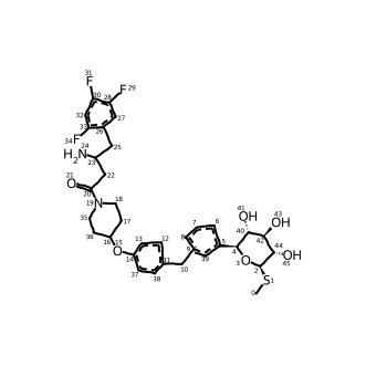 CS[C@H]1O[C@@H](c2cccc(Cc3ccc(OC4CCN(C(=O)CC(N)Cc5cc(F)c(F)cc5F)CC4)cc3)c2)[C@H](O)[C@@H](O)[C@@H]1O